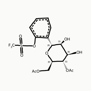 CC(=O)OC[C@H]1O[C@H](c2ccccc2OS(=O)(=O)C(F)(F)F)[C@@H](O)[C@@H](O)[C@@H]1OC(C)=O